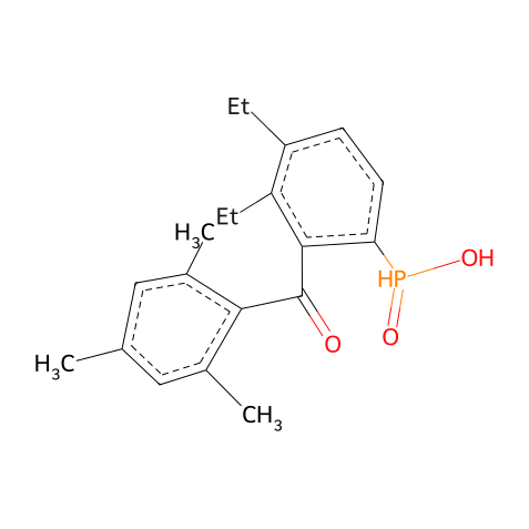 CCc1ccc([PH](=O)O)c(C(=O)c2c(C)cc(C)cc2C)c1CC